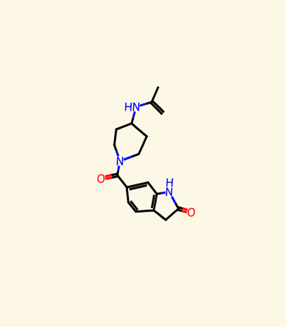 C=C(C)NC1CCN(C(=O)c2ccc3c(c2)NC(=O)C3)CC1